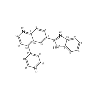 c1ccc2[nH]c(-c3ccc4nccc(-c5ccncc5)c4c3)nc2c1